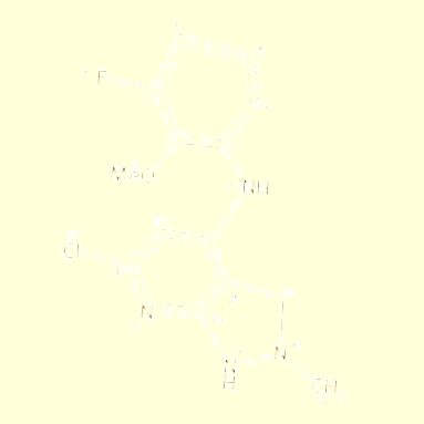 COc1c(F)cccc1Nc1cc(Cl)nc2c1CN(C)N2